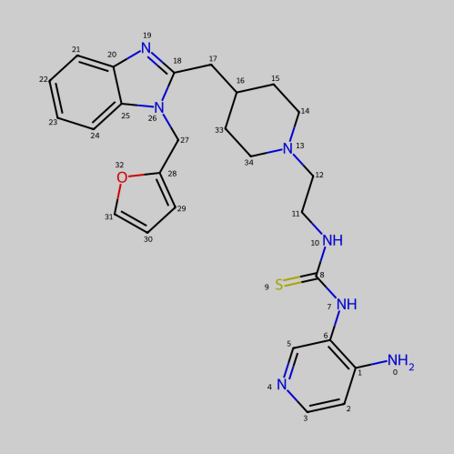 Nc1ccncc1NC(=S)NCCN1CCC(Cc2nc3ccccc3n2Cc2ccco2)CC1